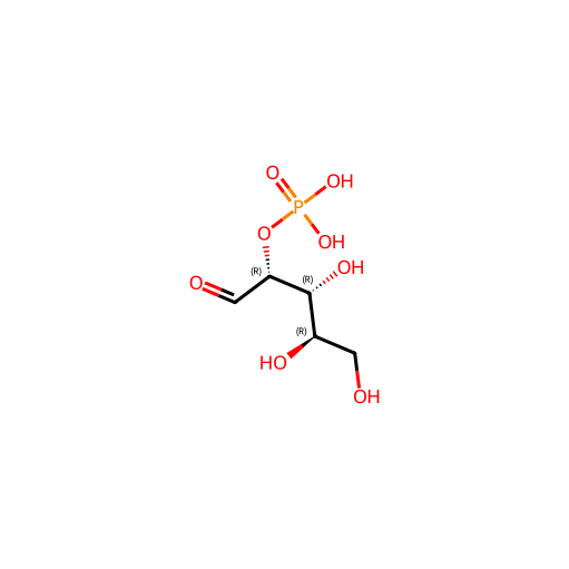 O=C[C@H](OP(=O)(O)O)[C@H](O)[C@H](O)CO